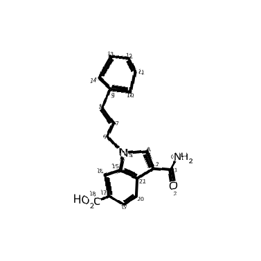 NC(=O)c1cn(CC=Cc2ccccc2)c2cc(C(=O)O)ccc12